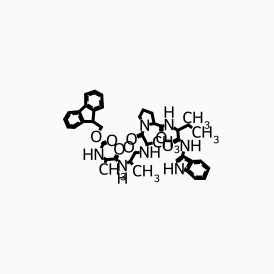 CC(NC(=O)OCC1c2ccccc2-c2ccccc21)C(=O)NC(C)C(=O)NC(C)C(=O)N1CCCC1C(=O)NC(C(=O)Nc1c[nH]c2ccccc12)C(C)C